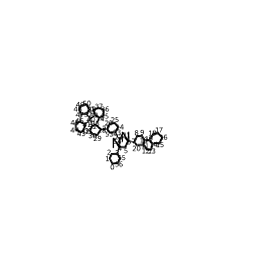 c1ccc(-c2cc(-c3ccc4c(ccc5ccccc54)c3)nc(-c3cccc(-c4cccc5c4-c4ccccc4C54c5ccccc5-c5ccccc54)c3)n2)cc1